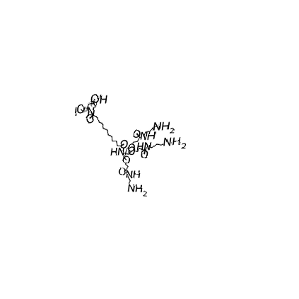 NCCCNC(=O)CCOCC(COCCC(=O)NCCCN)(COCCC(=O)NCCCN)NC(=O)CCCCCCCCCCC(=O)N1C[C@H](O)C[C@H]1COI